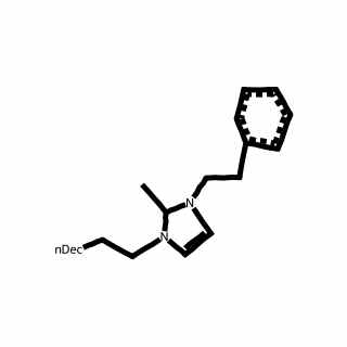 CCCCCCCCCCCCN1C=CN(CCc2ccccc2)C1C